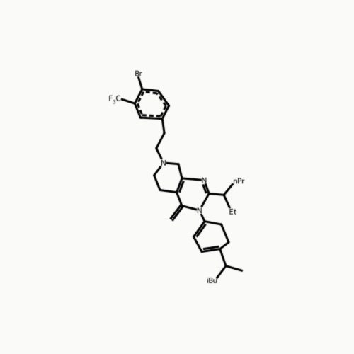 C=C1C2=C(CN(CCc3ccc(Br)c(C(F)(F)F)c3)CC2)N=C(C(CC)CCC)N1C1=CC=C(C(C)C(C)CC)CC1